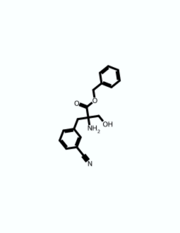 N#Cc1cccc(CC(N)(CO)C(=O)OCc2ccccc2)c1